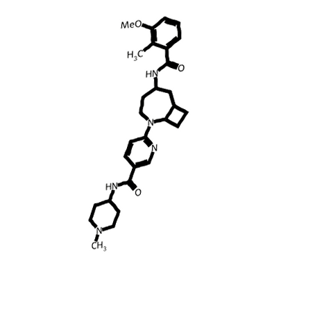 COc1cccc(C(=O)NC2CCN(c3ccc(C(=O)NC4CCN(C)CC4)cn3)C3CCC3C2)c1C